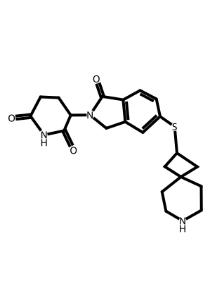 O=C1CCC(N2Cc3cc(SC4CC5(CCNCC5)C4)ccc3C2=O)C(=O)N1